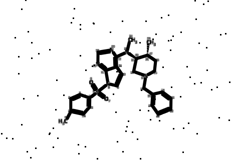 Cc1ccc(S(=O)(=O)n2ccc3c(N(C)[C@@H]4CN(Cc5ccccc5)CC[C@H]4C)ncnc32)cc1